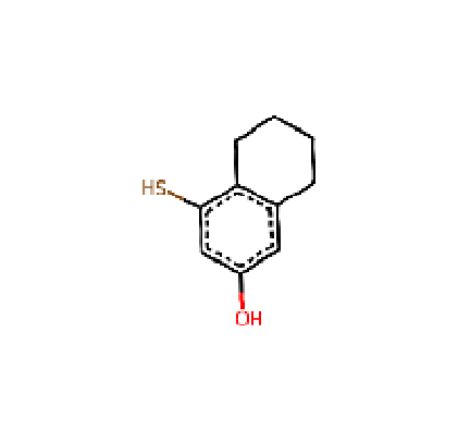 Oc1cc(S)c2c(c1)CCCC2